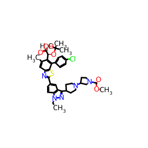 CCn1nc(C2CCN(C3CCN(C(=O)OC)C3)CC2)c2cc(-c3nc4cc(C)c([C@H](OC(C)(C)C)C(=O)O)c(-c5ccc(Cl)cc5)c4s3)ccc21